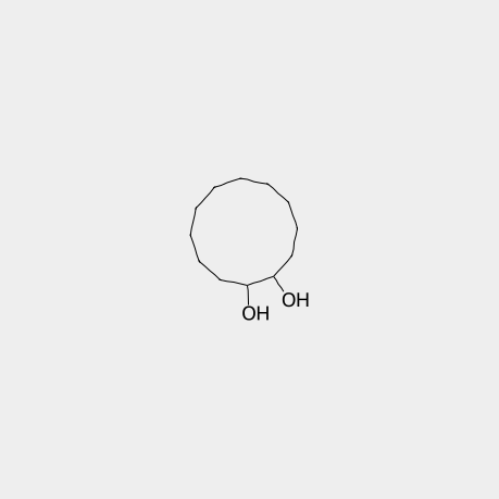 OC1CCCCCCCCCCC1O